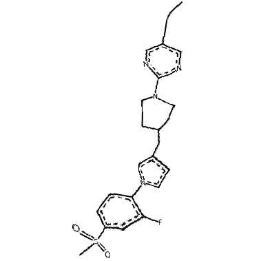 CCc1cnc(N2CCC(c3ccn(-c4ccc(S(C)(=O)=O)cc4F)c3)CC2)nc1